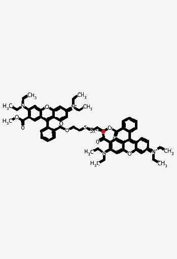 CCN(CC)c1cc2oc3cc(=[N+](CC)CC)ccc-3c(-c3ccccc3C(=O)OCCSSCCOC(=O)c3ccccc3-c3c4ccc(=[N+](CC)CC)cc-4oc4cc(N(CC)CC)c(C(=O)OC)cc34)c2cc1C(=O)OC